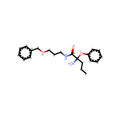 CCCC(N)(Oc1ccccc1)C(=O)NCCCOCc1ccccc1